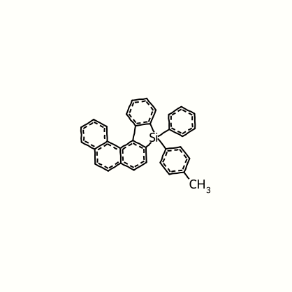 Cc1ccc([Si]2(c3ccccc3)c3ccccc3-c3c2ccc2ccc4ccccc4c32)cc1